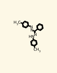 Cc1ccc(/N=N/C(=N\Nc2ccc(C)cc2)c2ccccc2)cc1